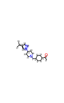 CC(=O)C1CCC(CN2CCC(n3cc(C(C)C)cn3)CC2)CC1